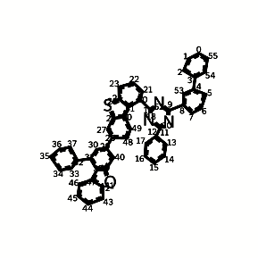 c1ccc(-c2cccc(-c3nc(-c4ccccc4)nc(-c4cccc5sc6cc(-c7cc(-c8ccccc8)c8c(c7)oc7ccccc78)ccc6c45)n3)c2)cc1